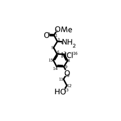 COC(=O)C(N)Cc1ccc(OCCO)cc1.Cl